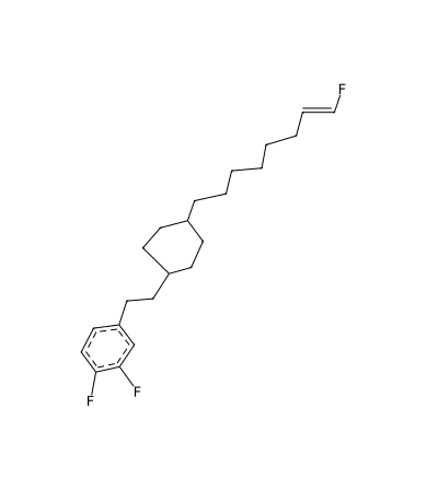 FC=CCCCCCCC1CCC(CCc2ccc(F)c(F)c2)CC1